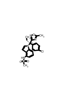 CC[C@@](c1ccc(Cl)cc1)(c1noc(C)n1)n1ccc2c(NS(C)(=O)=O)cccc21